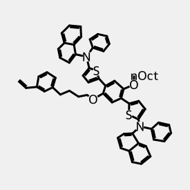 C=Cc1cccc(CCCCOc2cc(-c3ccc(N(c4ccccc4)c4cccc5ccccc45)s3)c(OCCCCCCCC)cc2-c2ccc(N(c3ccccc3)c3cccc4ccccc34)s2)c1